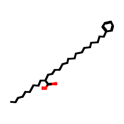 CCCCCCCCCC(CCCCCCCCCCCCCCCCc1ccccc1)C(=O)O